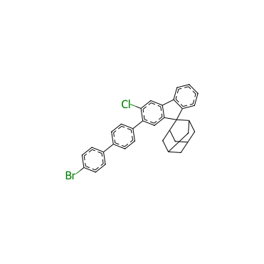 Clc1cc2c(cc1-c1ccc(-c3ccc(Br)cc3)cc1)C1(c3ccccc3-2)C2CC3CC(C2)CC1C3